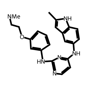 CNCCOc1cccc(Nc2nccc(Nc3ccc4[nH]c(C)cc4c3)n2)c1